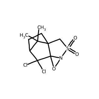 CC1(C)C2CCC13CS(=O)(=O)N1OC13C2(Cl)Cl